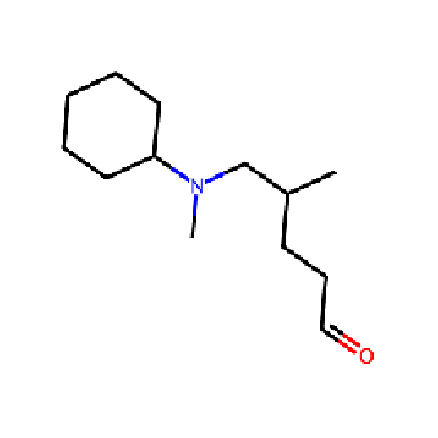 CC(CCC=O)CN(C)C1CCCCC1